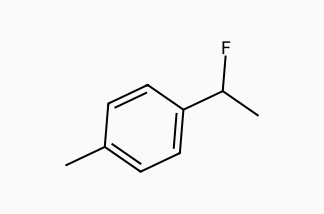 Cc1ccc(C(C)F)cc1